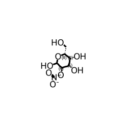 O=[N+]([O-])O[C@H]1C(O)O[C@H](CO)[C@H](O)[C@@H]1O